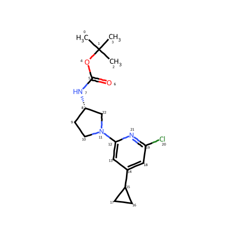 CC(C)(C)OC(=O)N[C@H]1CCN(c2cc(C3CC3)cc(Cl)n2)C1